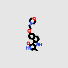 Cc1c[nH]c(=O)c2c1[nH]c1ccc3cc(OCCN4CCOCC4)ccc3c12